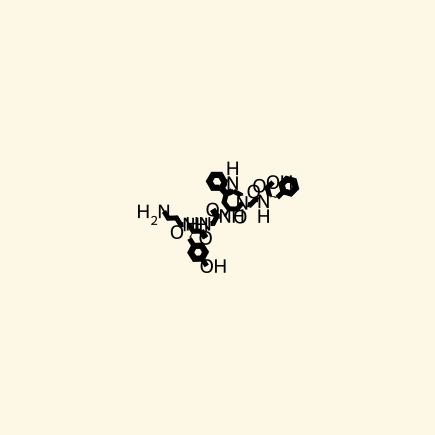 NCCC(=O)N[C@@H](Cc1ccc(O)cc1)C(=O)NCC(=O)N[C@H]1Cc2c([nH]c3ccccc23)CN(CC(=O)N[C@@H](Cc2ccccc2)C(=O)O)C1=O